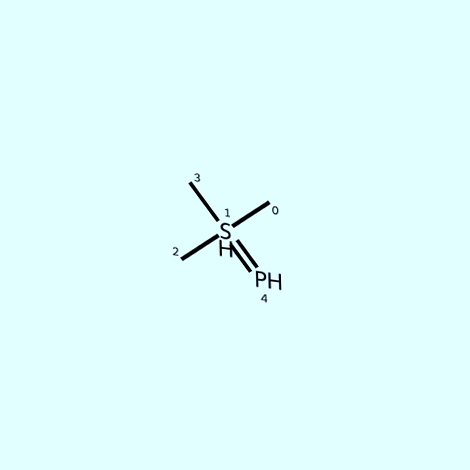 C[SH](C)(C)=P